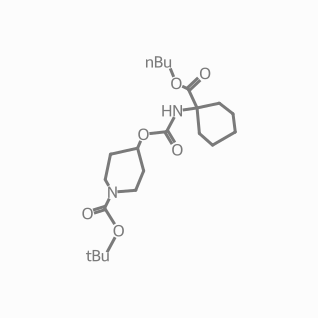 CCCCOC(=O)C1(NC(=O)OC2CCN(C(=O)OC(C)(C)C)CC2)CCCCC1